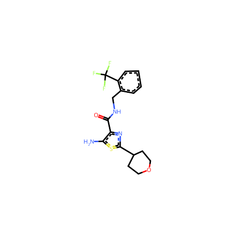 Nc1sc(C2CCOCC2)nc1C(=O)NCc1ccccc1C(F)(F)F